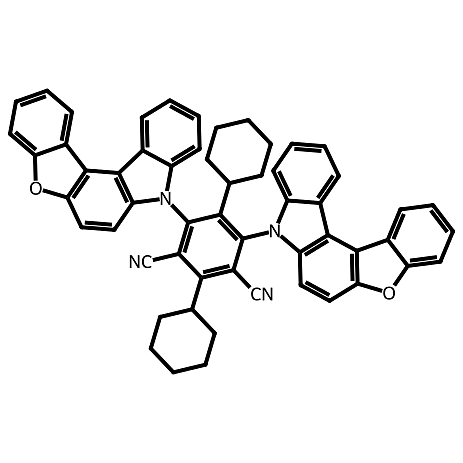 N#Cc1c(C2CCCCC2)c(C#N)c(-n2c3ccccc3c3c4c(ccc32)oc2ccccc24)c(C2CCCCC2)c1-n1c2ccccc2c2c3c(ccc21)oc1ccccc13